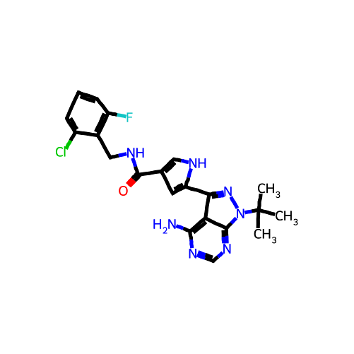 CC(C)(C)n1nc(-c2cc(C(=O)NCc3c(F)cccc3Cl)c[nH]2)c2c(N)ncnc21